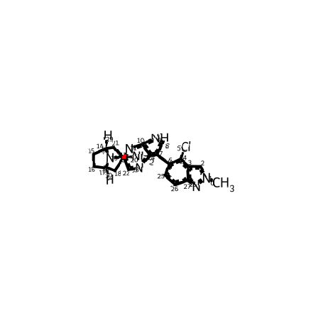 Cn1cc2c(Cl)c(-c3c[nH]c4nc(N5[C@@H]6CC[C@H]5C[C@H](N)C6)cnc34)ccc2n1